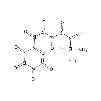 C[Si](C)(C)[Si](=O)[Si](=O)[Si](=O)[Si](=O)[Si](=O)[Si](=O)[Si](=O)[Si](=O)[Si](=O)[SiH]=O